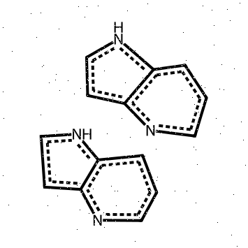 c1cnc2cc[nH]c2c1.c1cnc2cc[nH]c2c1